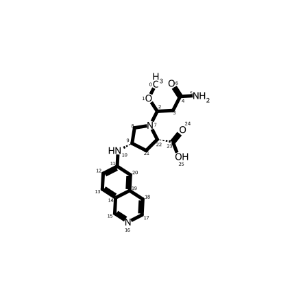 COC(CC(N)=O)N1C[C@@H](Nc2ccc3cnccc3c2)C[C@H]1C(=O)O